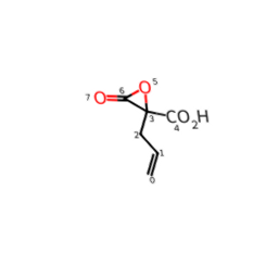 C=CCC1(C(=O)O)OC1=O